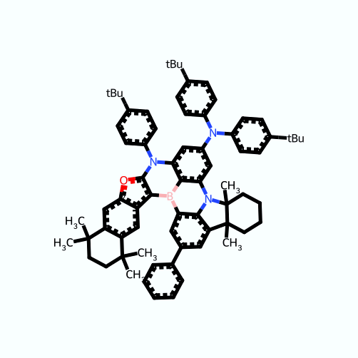 CC(C)(C)c1ccc(N(c2ccc(C(C)(C)C)cc2)c2cc3c4c(c2)N2c5c(cc(-c6ccccc6)cc5C5(C)CCCCC25C)B4c2c(oc4cc5c(cc24)C(C)(C)CCC5(C)C)N3c2ccc(C(C)(C)C)cc2)cc1